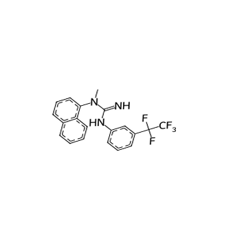 CN(C(=N)Nc1cccc(C(F)(F)C(F)(F)F)c1)c1cccc2ccccc12